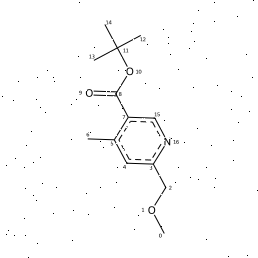 COCc1cc(C)c(C(=O)OC(C)(C)C)cn1